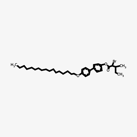 CCCCCCCCCCCCCCCCCOc1ccc(-c2ccc(OC(=O)C(Br)C(C)CC)cc2)cc1